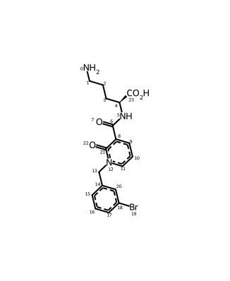 NCCC[C@H](NC(=O)c1cccn(Cc2cccc(Br)c2)c1=O)C(=O)O